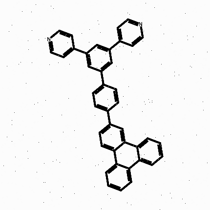 c1ccc2c(c1)c1ccccc1c1cc(-c3ccc(-c4cc(-c5ccncc5)cc(-c5ccncc5)c4)cc3)ccc21